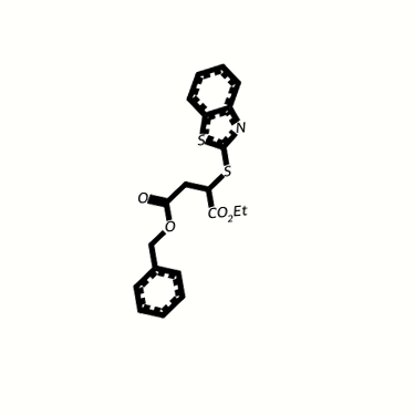 CCOC(=O)C(CC(=O)OCc1ccccc1)Sc1nc2ccccc2s1